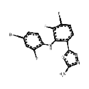 Nc1nnc(-c2ccc(F)c(F)c2Nc2ccc(Br)cc2F)o1